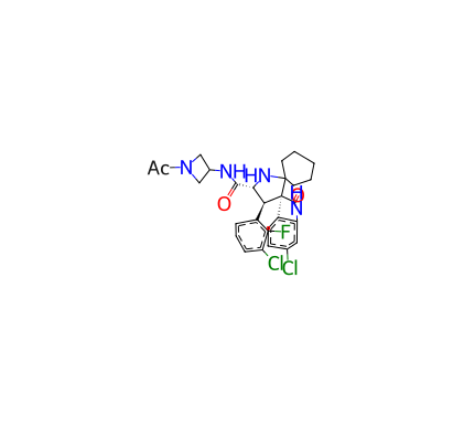 CC(=O)N1CC(NC(=O)[C@@H]2NC3(CCCCC3)[C@@]3(C(=O)Nc4cc(Cl)ccc43)[C@H]2c2cccc(Cl)c2F)C1